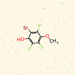 COc1c(F)c(F)c(O)c(Br)c1F